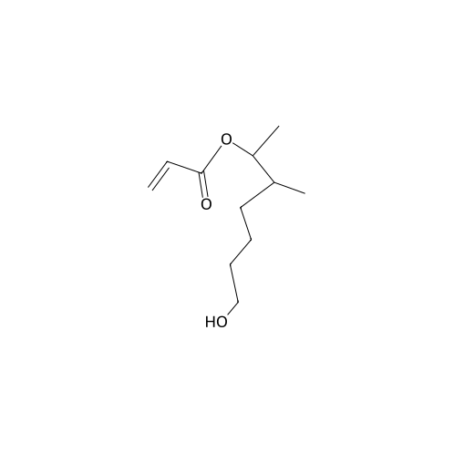 C=CC(=O)OC(C)C(C)CCCCO